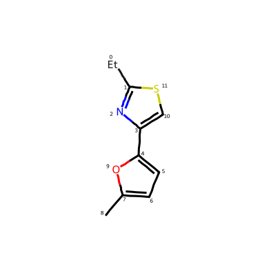 CCc1nc(-c2ccc(C)o2)cs1